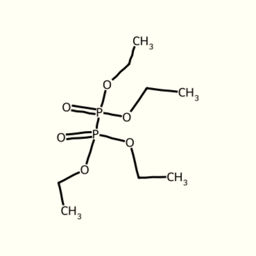 CCOP(=O)(OCC)P(=O)(OCC)OCC